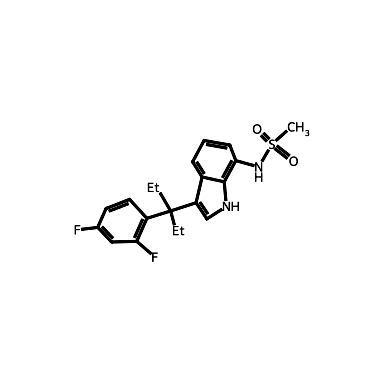 CCC(CC)(c1ccc(F)cc1F)c1c[nH]c2c(NS(C)(=O)=O)cccc12